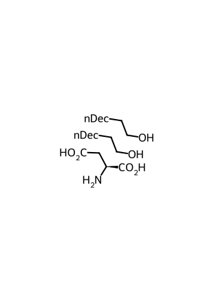 CCCCCCCCCCCCO.CCCCCCCCCCCCO.N[C@@H](CC(=O)O)C(=O)O